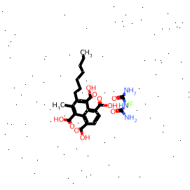 CCCCCCCc1c(C)c(C(=O)O)c2c(C(=O)O)ccc(C(=O)O)c2c1C(=O)O.F.NC(=O)NC(N)=O